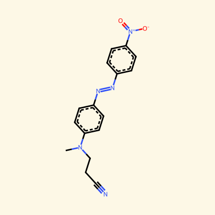 CN(CCC#N)c1ccc(N=Nc2ccc([N+](=O)[O-])cc2)cc1